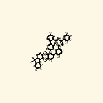 CC1(C)c2ccccc2-c2c1ccc1c2Oc2ccc(-c3cccc(-c4nc(-c5ccccc5)nc(-c5ccccc5-c5ccccc5)n4)c3)cc2O1